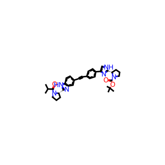 CC(C)C(=O)N1CCC[C@H]1c1nc2cc(C#Cc3ccc(-c4c[nH]c([C@@H]5CCCN5C(=O)OC(C)(C)C)n4)cc3)ccc2[nH]1